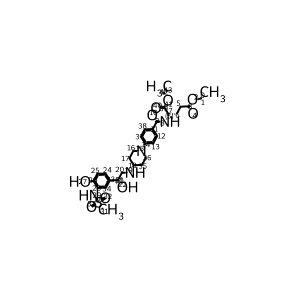 CCOC(=O)CC[C@H](NC(=O)c1ccc(N2CCC(NC[C@H](O)c3ccc(O)c(NS(C)(=O)=O)c3)CC2)cc1)C(=O)OCC